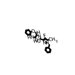 Cc1c(F)c(C(O)N[C@H]2COc3ccccc3NC2=O)nn1Cc1ccccc1